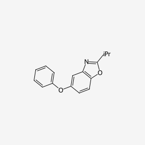 CC(C)c1nc2cc(Oc3ccccc3)ccc2o1